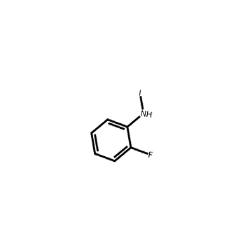 Fc1ccccc1NI